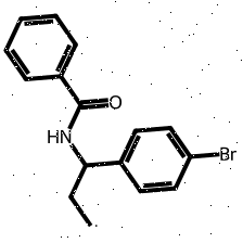 [CH2]CC(NC(=O)c1ccccc1)c1ccc(Br)cc1